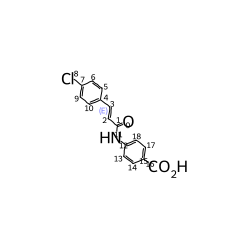 O=C(/C=C/c1ccc(Cl)cc1)Nc1ccc(C(=O)O)cc1